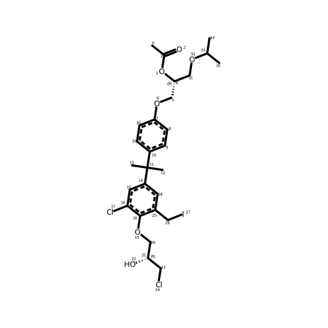 CC(=O)O[C@@H](COc1ccc(C(C)(C)c2cc(Cl)c(OC[C@@H](O)CCl)c(CI)c2)cc1)COC(C)C